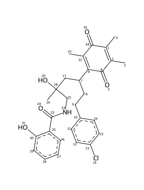 CC1=C(C)C(=O)C(C(CCc2ccc(Cl)cc2)CC(C)(O)CNC(=O)c2ccccc2O)=C(C)C1=O